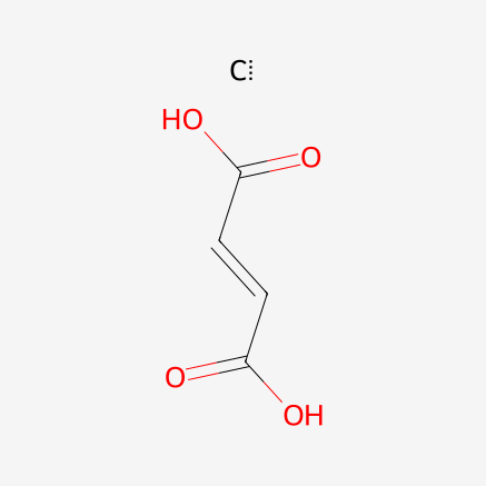 O=C(O)C=CC(=O)O.[C]